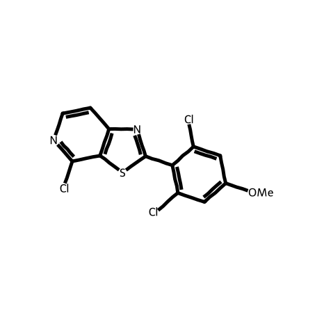 COc1cc(Cl)c(-c2nc3ccnc(Cl)c3s2)c(Cl)c1